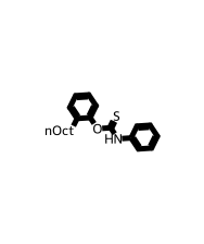 CCCCCCCCc1ccccc1OC(=S)Nc1ccccc1